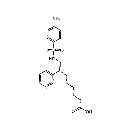 Nc1ccc(S(=O)(=O)NCC(CCCCCC(=O)O)c2cccnc2)cc1